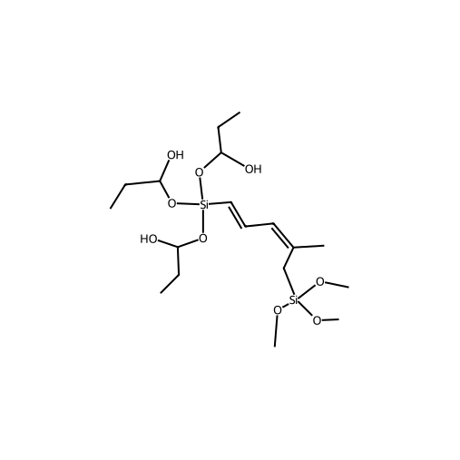 CCC(O)O[Si](C=CC=C(C)C[Si](OC)(OC)OC)(OC(O)CC)OC(O)CC